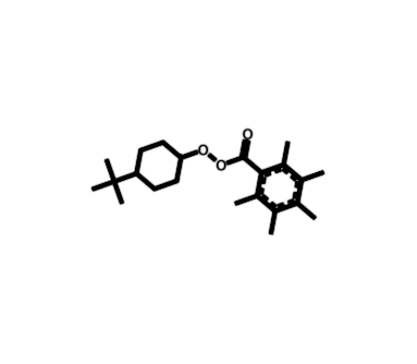 Cc1c(C)c(C)c(C(=O)OO[C]2CCC(C(C)(C)C)CC2)c(C)c1C